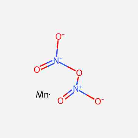 O=[N+]([O-])O[N+](=O)[O-].[Mn]